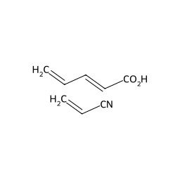 C=CC#N.C=CC=CC(=O)O